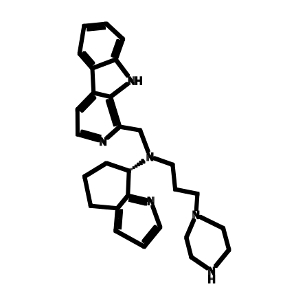 c1cnc2c(c1)CCC[C@@H]2N(CCCN1CCNCC1)Cc1nccc2c1[nH]c1ccccc12